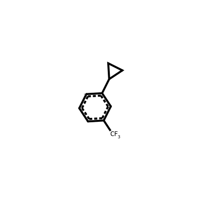 FC(F)(F)c1cc[c]c(C2CC2)c1